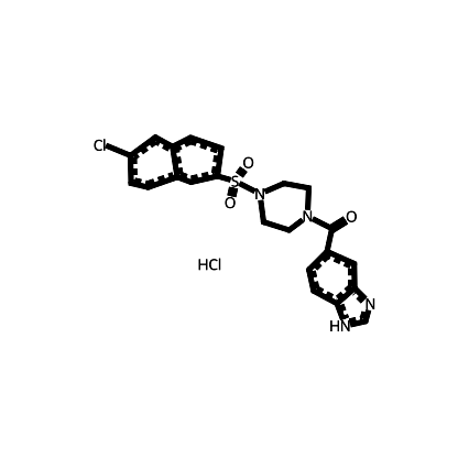 Cl.O=C(c1ccc2[nH]cnc2c1)N1CCN(S(=O)(=O)c2ccc3cc(Cl)ccc3c2)CC1